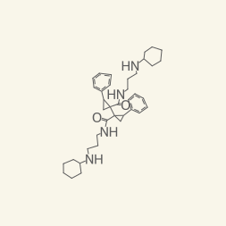 O=C(NCCCNC1CCCCC1)C1(C2(C(=O)NCCCNC3CCCCC3)CC2c2ccccc2)CC1c1ccccc1